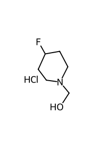 Cl.OCN1CCC(F)CC1